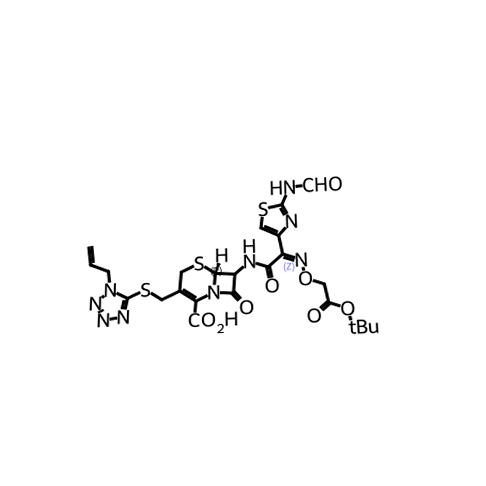 C=CCn1nnnc1SCC1=C(C(=O)O)N2C(=O)C(NC(=O)/C(=N\OCC(=O)OC(C)(C)C)c3csc(NC=O)n3)[C@H]2SC1